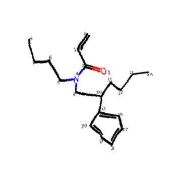 C=CC(=O)N(CCCC)CC(CCCC)c1ccccc1